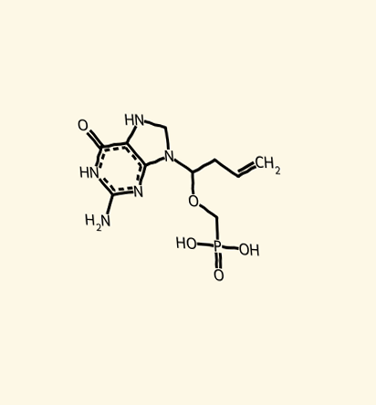 C=CCC(OCP(=O)(O)O)N1CNc2c1nc(N)[nH]c2=O